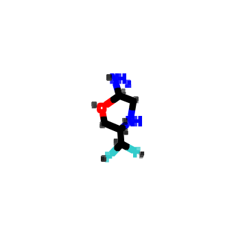 NC1CNC(C(F)F)CO1